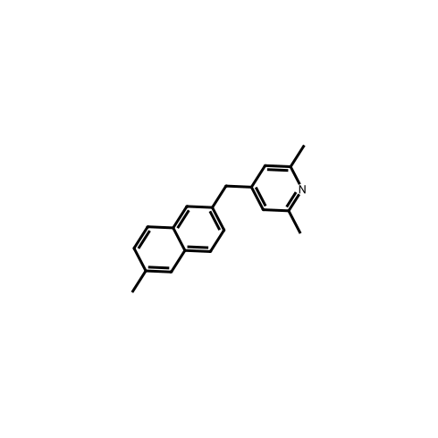 Cc1ccc2cc(Cc3cc(C)nc(C)c3)ccc2c1